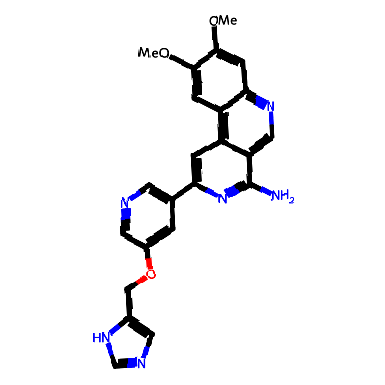 COc1cc2ncc3c(N)nc(-c4cncc(OCc5cnc[nH]5)c4)cc3c2cc1OC